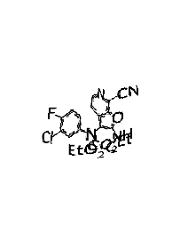 CCOC(=O)Nc1oc2c(C#N)nccc2c1N(C(=O)OCC)c1ccc(F)c(Cl)c1